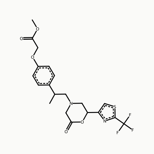 COC(=O)COc1ccc(C(C)CN2CC(=O)OC(c3csc(C(F)(F)F)n3)C2)cc1